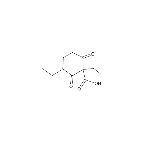 CCN1CCC(=O)C(CC)(C(=O)O)C1=O